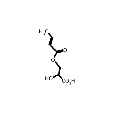 CC=CC(=O)OCC(O)C(=O)O